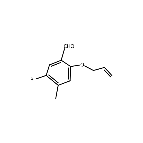 C=CCOc1cc(C)c(Br)cc1C=O